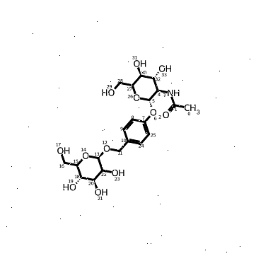 CC(=O)NC1[C@H](Oc2ccc(CO[C@@H]3OC(CO)[C@@H](O)[C@H](O)C3O)cc2)OC(CO)[C@@H](O)[C@@H]1O